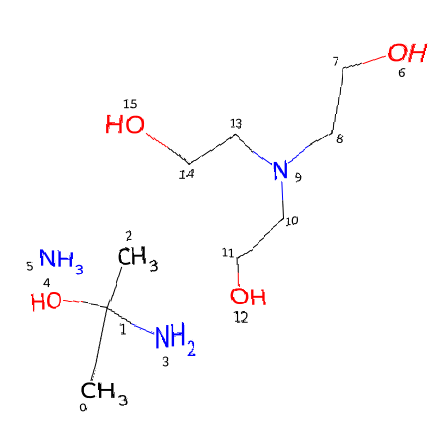 CC(C)(N)O.N.OCCN(CCO)CCO